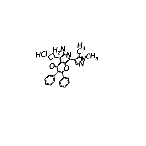 Cc1c(-c2nc(N)c(C3CCC3)c3c(=O)c(-c4ccccc4)c(-c4ccccc4)oc23)cnn1C.Cl